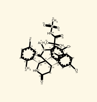 CC(=O)N1C(=O)[C@]2(c3ccc(Cl)cc31)[C@@H](c1cc(F)ccc1C)NC(=O)C[C@H]2c1cc(Cl)ccc1OC(C)(C)C(=O)NS(C)(=O)=O